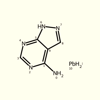 Nc1ncnc2[nH]ncc12.[PbH2]